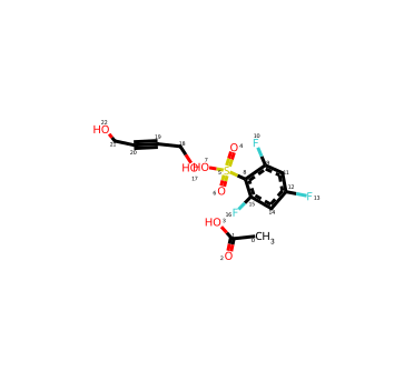 CC(=O)O.O=S(=O)(O)c1c(F)cc(F)cc1F.OCC#CCO